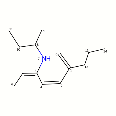 C=C(/C=C\C(=C/C)NC(C)CC)CCC